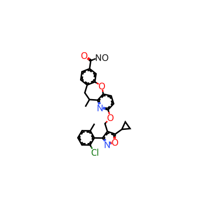 Cc1cccc(Cl)c1-c1noc(C2CC2)c1COc1ccc2c(n1)C(C)Cc1ccc(C(=O)N=O)cc1O2